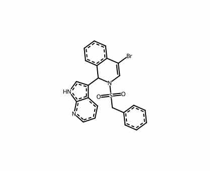 O=S(=O)(Cc1ccccc1)N1C=C(Br)c2ccccc2C1c1c[nH]c2ncccc12